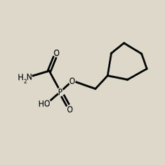 NC(=O)P(=O)(O)OCC1CCCCC1